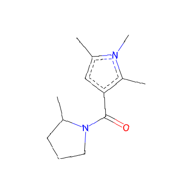 Cc1cc(C(=O)N2CCCC2C)c(C)n1C